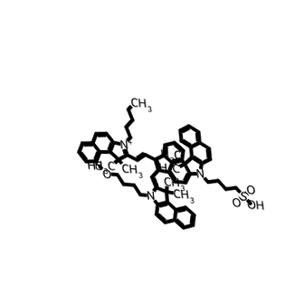 CCCCC[N+]1=C(/C=C/C2=C(/C=C3/N(CCCCOS)c4ccc5ccccc5c4C3(C)C)C(=C/C=C3/N(CCCCS(=O)(=O)O)c4ccc5ccccc5c4C3(C)C)/c3ccccc32)C(C)(C)c2c1ccc1ccccc21